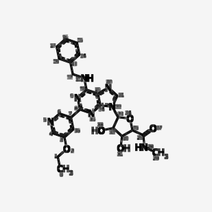 CCOc1cncc(-c2nc(NCc3ccccc3)c3ncn(C4OC(C(=O)NC)C(O)C4O)c3n2)c1